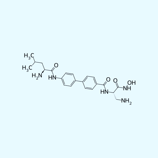 CC(C)C[C@H](N)C(=O)Nc1ccc(-c2ccc(C(=O)N[C@@H](CN)C(=O)NO)cc2)cc1